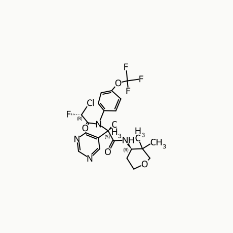 CC1(C)COCC[C@H]1NC(=O)[C@](C)(c1cncnc1)N(C(=O)[C@H](F)Cl)c1ccc(OC(F)(F)F)cc1